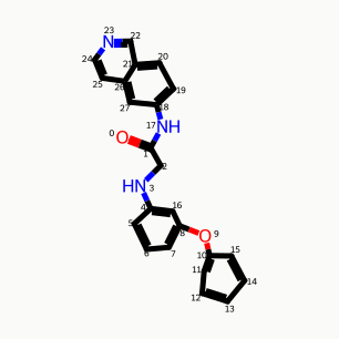 O=C(CNc1cccc(Oc2ccccc2)c1)Nc1ccc2cnccc2c1